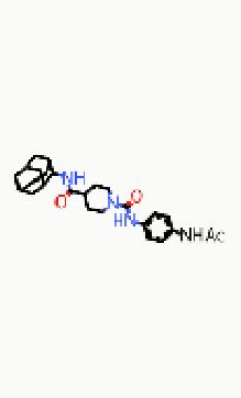 CC(=O)Nc1ccc(NC(=O)N2CCC(C(=O)NC3C4CC5CC(C4)CC3C5)CC2)cc1